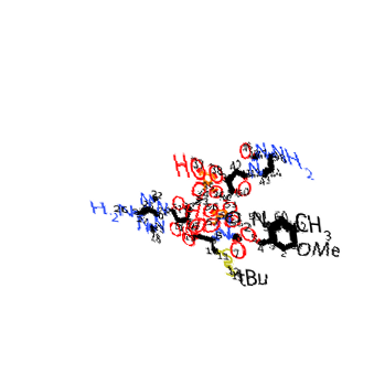 COc1cc(COC(=O)N[C@@H](CSSC(C)(C)C)C(=O)O[C@H]2[C@@H](O)[C@H](n3cnc4c(N)ncnc43)O[C@@H]2COP(=O)(O)O[C@H]2C[C@H](n3ccc(N)nc3=O)O[C@@H]2COP(=O)(O)O)c([N+](=O)[O-])cc1C